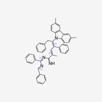 C/C(=C\C(=C(/Cc1ccccc1)n1c2ccc(C)cc2c2cc(C)ccc21)c1ccccc1)C(=N)/N=C(\N=C\c1ccccc1)c1ccccc1